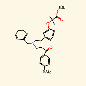 CSc1ccc(C(=O)C2CN(Cc3ccccc3)CC2c2cccc(OC(C)(C)C(=O)OC(C)(C)C)c2)cc1